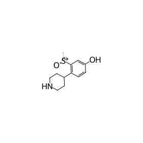 C[S@@+]([O-])c1cc(O)ccc1C1CCNCC1